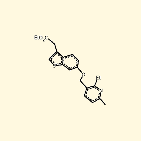 CCOC(=O)Cc1csc2cc(OCc3ccc(C)nc3CC)ccc12